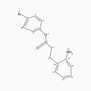 CC(=O)c1ccc(OC(=O)CCc2ccccc2N)cc1